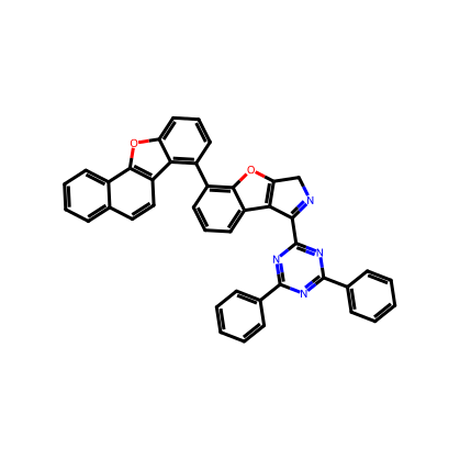 c1ccc(-c2nc(C3=NCc4oc5c(-c6cccc7oc8c9ccccc9ccc8c67)cccc5c43)nc(-c3ccccc3)n2)cc1